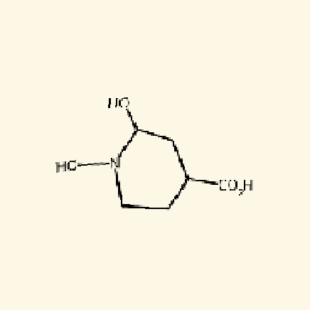 O=C(O)C1CCN(O)C(O)C1